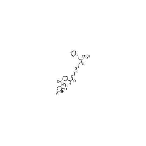 O=C(O)CN(CCc1ccccc1)C(=O)CCSSCCOC(=O)Nc1cccc2c1C(=O)N(C1CCC(=O)NC1=O)C2=O